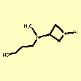 CC(C)N1CC(N(C)CCCO)C1